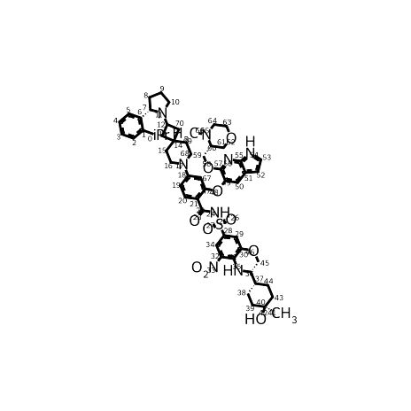 CC(C)c1ccccc1[C@@H]1CCCN1C1CC2(CCN(c3ccc(C(=O)NS(=O)(=O)c4cc5c(c([N+](=O)[O-])c4)N[C@@H]([C@H]4CC[C@](C)(O)CC4)CO5)c(Oc4cc5cc[nH]c5nc4OC[C@H]4COCCN4C)c3)CC2)C1